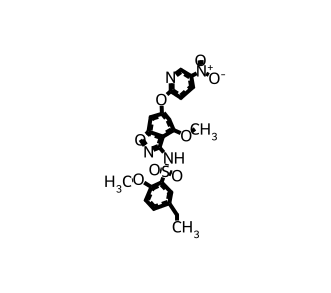 CCc1ccc(OC)c(S(=O)(=O)Nc2noc3cc(Oc4ccc([N+](=O)[O-])cn4)cc(OC)c23)c1